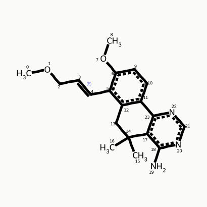 COC/C=C/c1c(OC)ccc2c1CC(C)(C)c1c(N)ncnc1-2